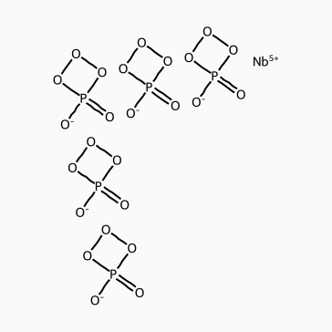 O=P1([O-])OOO1.O=P1([O-])OOO1.O=P1([O-])OOO1.O=P1([O-])OOO1.O=P1([O-])OOO1.[Nb+5]